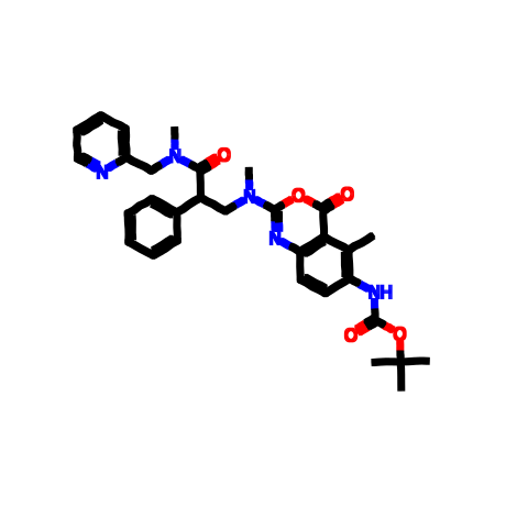 Cc1c(NC(=O)OC(C)(C)C)ccc2nc(N(C)CC(C(=O)N(C)Cc3ccccn3)c3ccccc3)oc(=O)c12